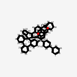 c1ccc(-c2ccc(N(c3ccc4c(c3)C3(c5ccccc5-c5ccccc5-4)c4ccccc4-c4c3cc3ccc5cccc6ccc4c3c56)c3ccc4oc5ccccc5c4c3)cc2)cc1